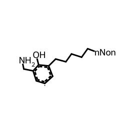 CCCCCCCCCCCCCCc1c[c]cc(CN)c1O